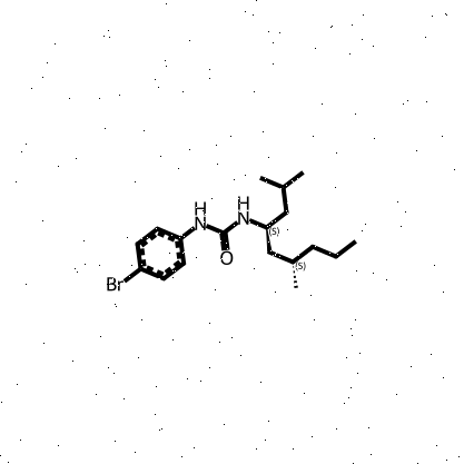 CCC[C@H](C)C[C@H](CC(C)C)NC(=O)Nc1ccc(Br)cc1